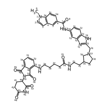 Cn1ncc2cc(C(=O)Nc3ccc4[nH]c(CN5CCC(CCNC(=O)CCCCNc6cccc7c6C(=O)N(C6CCC(=O)NC6=O)C7=O)C5)nc4c3)ccc21